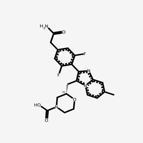 Cc1ccn2c(C[C@H]3CN(C(=O)O)CCO3)c(-c3c(F)cc(CC(N)=O)cc3F)nc2c1